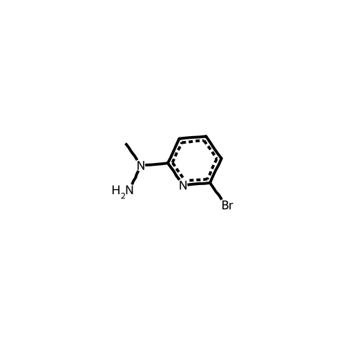 CN(N)c1cccc(Br)n1